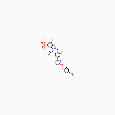 COC(=O)c1cc(F)c2nc(Cc3ccc(-c4cccc(OCc5ccc(C#N)cc5F)n4)cc3F)n(CC3(CF)CC3)c2c1